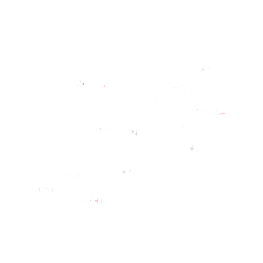 CCCCc1cc(C=C(C#N)S(=O)(=O)C(C#N)=Cc2cc(C(C)C)c(O)c(C(C)C)c2)cc(CCCC)c1O